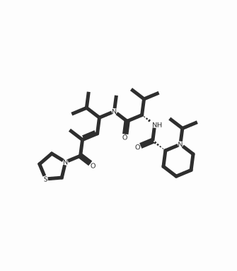 C/C(=C\C(C(C)C)N(C)C(=O)[C@@H](NC(=O)[C@H]1CCCCN1C(C)C)C(C)C)C(=O)N1CCSC1